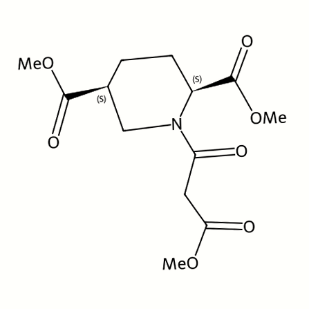 COC(=O)CC(=O)N1C[C@@H](C(=O)OC)CC[C@H]1C(=O)OC